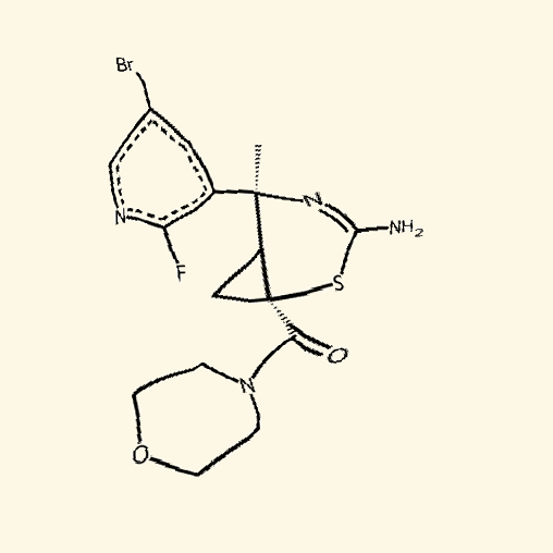 C[C@]1(c2cc(Br)cnc2F)N=C(N)S[C@@]2(C(=O)N3CCOCC3)CC21